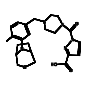 Cc1ccc(CN2CCN(C(=O)n3ccc(C(=O)O)n3)CC2)cc1N1C2CCC1COC2